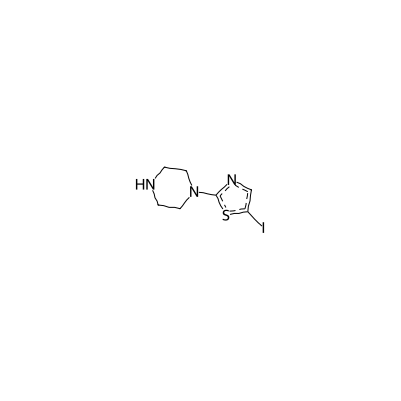 Ic1cnc(N2CCNCC2)s1